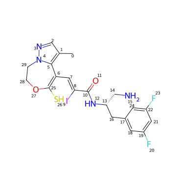 Cc1cnn2c1C(/C=C(\I)C(=O)N[C@H](CN)Cc1cc(F)cc(F)c1)=C(S)OCC2